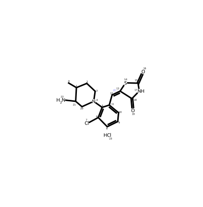 CC1CCN(c2c(Cl)cccc2/C=C2/SC(=O)NC2=O)CC1N.Cl